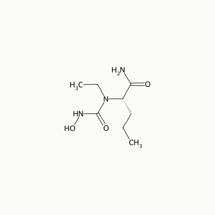 CCC[C@@H](C(N)=O)N(CC)C(=O)NO